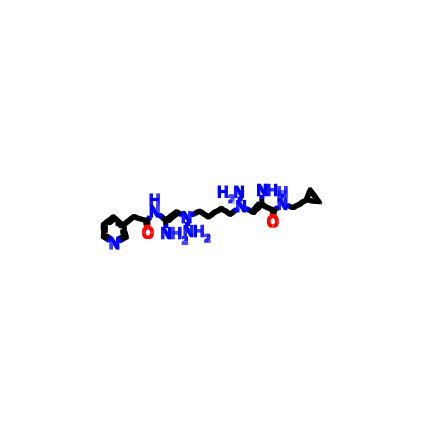 N/C(=C\N(N)CCCCN(N)/C=C(\N)NC(=O)Cc1cccnc1)C(=O)NCC1CC1